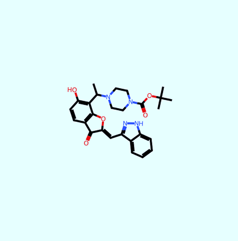 CC(c1c(O)ccc2c1O/C(=C\c1n[nH]c3ccccc13)C2=O)N1CCN(C(=O)OC(C)(C)C)CC1